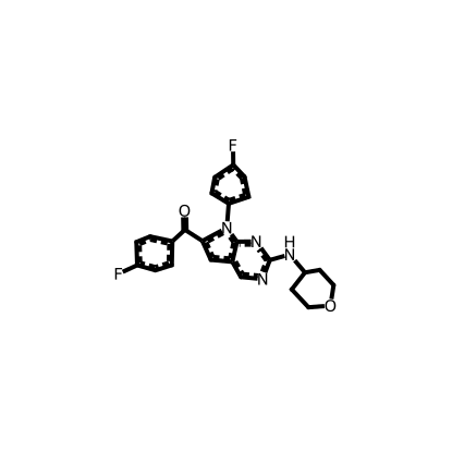 O=C(c1ccc(F)cc1)c1cc2cnc(NC3CCOCC3)nc2n1-c1ccc(F)cc1